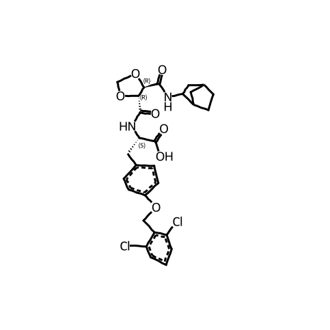 O=C(O)[C@H](Cc1ccc(OCc2c(Cl)cccc2Cl)cc1)NC(=O)[C@@H]1OCO[C@H]1C(=O)NC1CC2CCC1C2